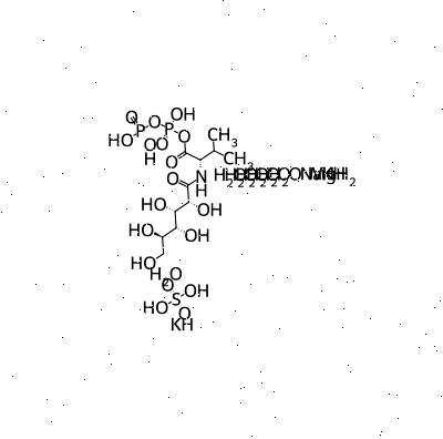 CC(C)[C@H](NC(=O)[C@H](O)[C@@H](O)[C@H](O)[C@H](O)CO)C(=O)OP(=O)(O)OP(=O)(O)O.O.O.O.O.O.O.O.O=S(=O)(O)O.[KH].[KH].[MgH2].[NaH]